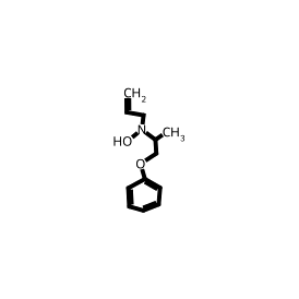 C=CCN(O)C(C)COc1ccccc1